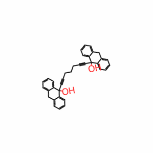 OC1(C#CCCCC#CC2(O)c3ccccc3Cc3ccccc32)c2ccccc2Cc2ccccc21